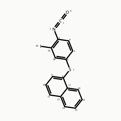 O=C=Nc1ccc(Sc2cccc3ccccc23)cc1I